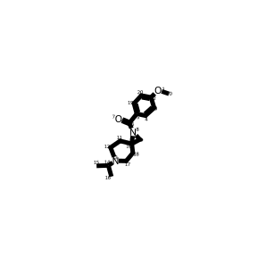 COc1ccc(C(=O)N2CC23CCN(C(C)C)CC3)cc1